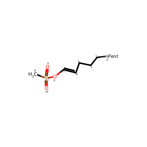 CCCCCCCC/C=C/OS(C)(=O)=O